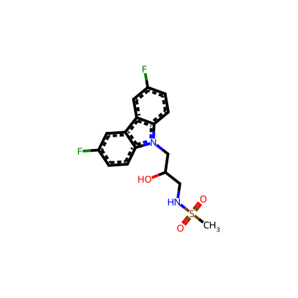 CS(=O)(=O)NCC(O)Cn1c2ccc(F)cc2c2cc(F)ccc21